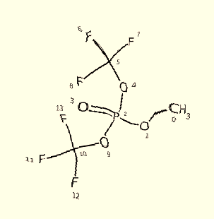 COP(=O)(OC(F)(F)F)OC(F)(F)F